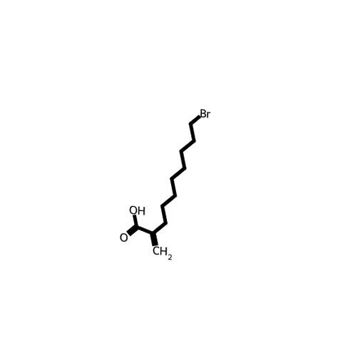 C=C(CCCCCCCCBr)C(=O)O